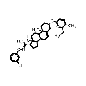 CC[C@H]1OC(O[C@H]2CC[C@@]3(C)C(=CCC4C3CC[C@@]3(C)C4CC[C@@H]3/C(C)=N/Oc3cccc(Cl)c3)C2)C=C[C@@H]1C